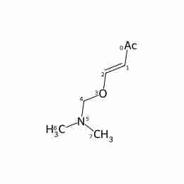 CC(=O)/C=C/OCN(C)C